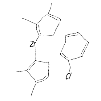 CC1=CC[C]([Zr][C]2=C(C)C(C)=CC2)=C1C.Clc1ccccc1